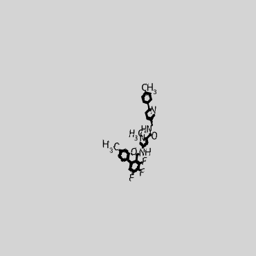 Cc1ccc(-c2ccc(CNC(=O)c3cc(NC(=O)c4c(-c5ccc(C)cc5)cc(F)c(F)c4F)cn3C)cn2)cc1